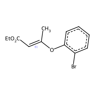 CCOC(=O)/C=C(\C)Oc1ccccc1Br